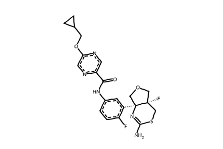 NC1=N[C@@]2(c3cc(NC(=O)c4cnc(OCC5CC5)cn4)ccc3F)COC[C@@]2(F)CS1